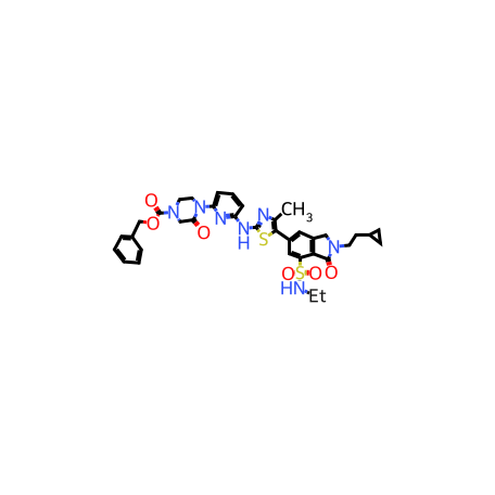 CCNS(=O)(=O)c1cc(-c2sc(Nc3cccc(N4CCN(C(=O)OCc5ccccc5)CC4=O)n3)nc2C)cc2c1C(=O)N(CCC1CC1)C2